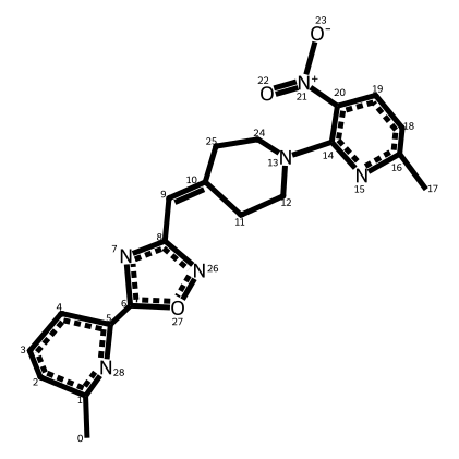 Cc1cccc(-c2nc(C=C3CCN(c4nc(C)ccc4[N+](=O)[O-])CC3)no2)n1